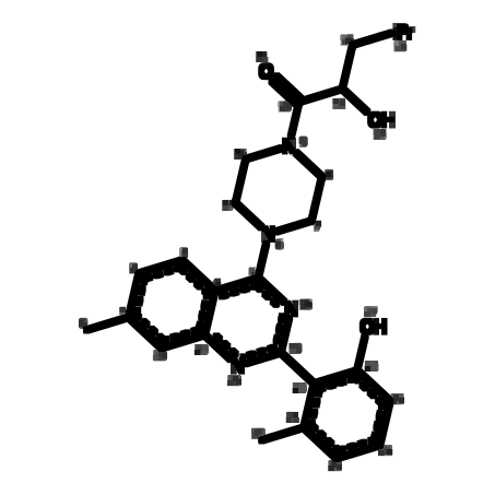 Cc1ccc2c(N3CCN(C(=O)C(O)CC(C)C)CC3)nc(-c3c(C)cccc3O)nc2c1